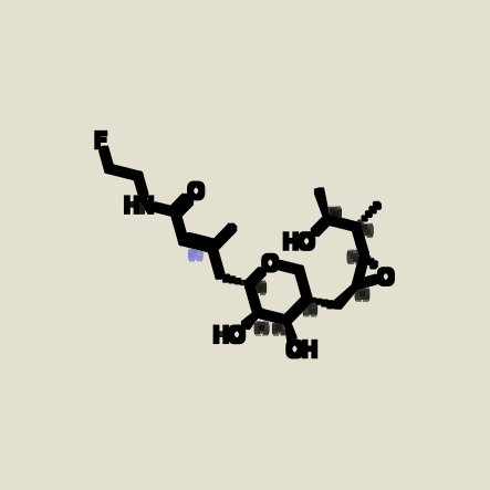 C/C(=C\C(=O)NCCF)C[C@@H]1OC[C@H](C[C@@H]2O[C@H]2[C@@H](C)[C@H](C)O)[C@@H](O)[C@H]1O